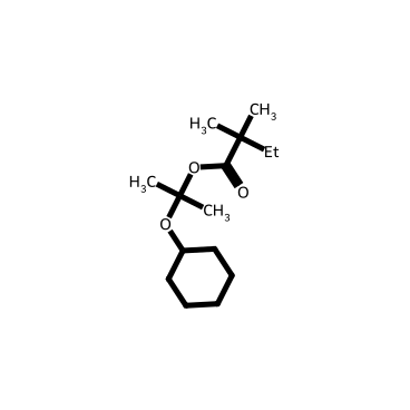 CCC(C)(C)C(=O)OC(C)(C)OC1CCCCC1